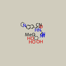 CO[C@H]1C[C@H](Cn2cc(CNC(=O)/C(C#N)=C/c3ccc4cc(N5CCCCC5)ccc4c3)nn2)[C@@H](O)[C@H](O)[C@H]1O